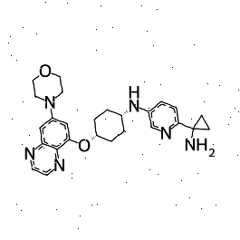 NC1(c2ccc(N[C@H]3CC[C@@H](Oc4cc(N5CCOCC5)cc5nccnc45)CC3)cn2)CC1